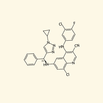 N#Cc1cnc2c(Cl)cc(N[C@@H](c3ccccc3)c3cn(C4CC4)nn3)cc2c1Nc1ccc(F)c(Cl)c1